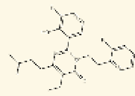 CCc1c(CCC(C)C)nc(-c2cccc(F)c2O)n(CCc2ccccc2F)c1=O